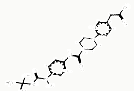 CC(C)(C)NC(=O)N(S)c1ccc(OC(=O)N2CCN(c3ccc(CC(=O)O)cn3)CC2)nc1